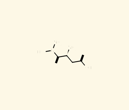 CN(N)C(=O)[C@@H](N)CC(=O)O